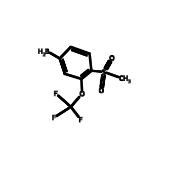 Bc1ccc(S(C)(=O)=O)c(OC(F)(F)F)c1